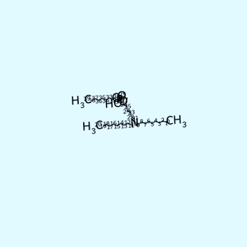 CCCCCCCCCCN(CCCCCCCCCC)CCCCCCOP(=O)(O)OCCCCCCCC